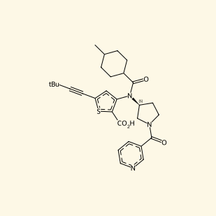 CC1CCC(C(=O)N(c2cc(C#CC(C)(C)C)sc2C(=O)O)[C@H]2CCN(C(=O)c3cccnc3)C2)CC1